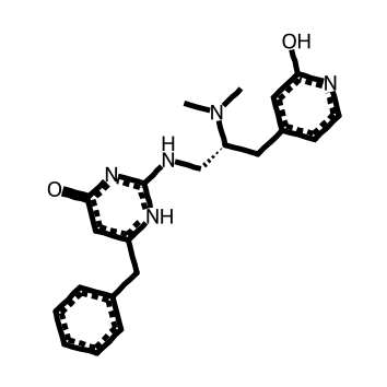 CN(C)[C@@H](CNc1nc(=O)cc(Cc2ccccc2)[nH]1)Cc1ccnc(O)c1